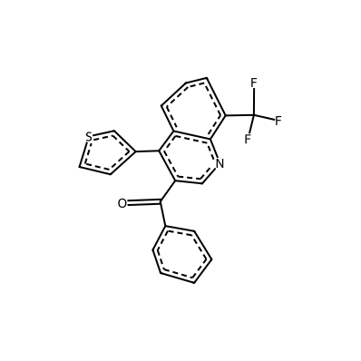 O=C(c1ccccc1)c1cnc2c(C(F)(F)F)cccc2c1-c1ccsc1